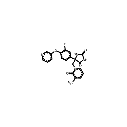 Cc1cccn(CC2(c3ccc(Oc4cccnc4)c(F)c3)NC(=O)NC2=O)c1=O